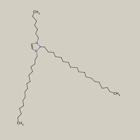 CCCCCCCCCCCCCCCCCCCC1N(CCCCCCC)C=CN1CCCCCCCCCCCCCCCCC